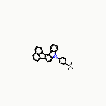 C[Si](C)(C)c1ccc(-n2c3ccccc3c3c4c(ccc32)-c2cccc3cccc-4c23)cc1